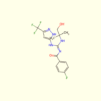 CC(C)(CO)N/C(=N/C(=O)c1ccc(F)cc1)Nc1cc(C(F)(F)F)n[nH]1